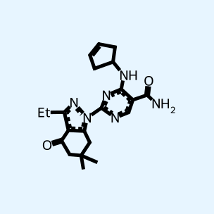 CCc1nn(-c2ncc(C(N)=O)c(NC3CC=CC3)n2)c2c1C(=O)CC(C)(C)C2